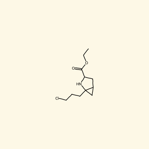 CCOC(=O)C1CC2CC2(CCCCl)N1